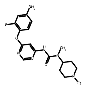 CCN1CCC(N(C)C(=O)Nc2cc(Oc3ccc(N)cc3F)ncn2)CC1